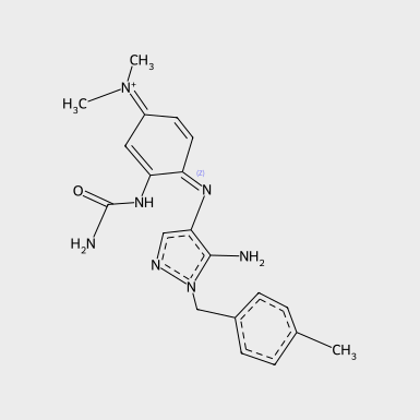 Cc1ccc(Cn2ncc(/N=C3/C=CC(=[N+](C)C)C=C3NC(N)=O)c2N)cc1